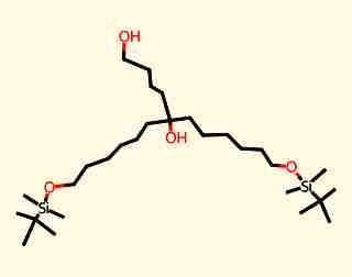 CC(C)(C)[Si](C)(C)OCCCCCCC(O)(CCCCO)CCCCCCO[Si](C)(C)C(C)(C)C